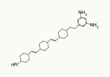 CCCC1CCC(/C=C/C2CCC(/C=C/C3CCC(CCc4cc(N)cc(N)c4)CC3)CC2)CC1